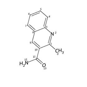 Cc1nc2ccccc2[c]c1C(N)=O